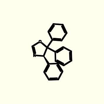 C1=N[C@H](c2ccccc2)C(c2ccccc2)(c2ccccc2)O1